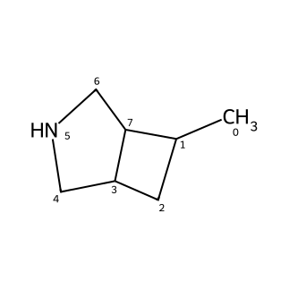 CC1CC2CNCC12